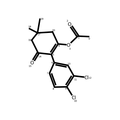 CC(=O)OC1=C(c2ccc(Cl)c(Cl)c2)C(=O)CC(C)(C)C1